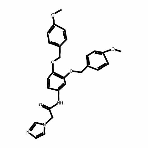 COc1ccc(COc2ccc(NC(=O)Cn3ccnc3)cc2OCc2ccc(OC)cc2)cc1